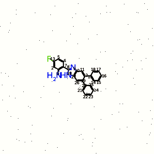 Nc1cc(F)ccc1-c1nc2cc(-c3ccccc3)c(-c3ccccc3)cc2[nH]1